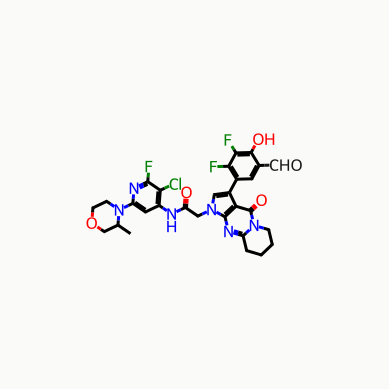 CC1COCCN1c1cc(NC(=O)Cn2cc(-c3cc(C=O)c(O)c(F)c3F)c3c(=O)n4c(nc32)CCCC4)c(Cl)c(F)n1